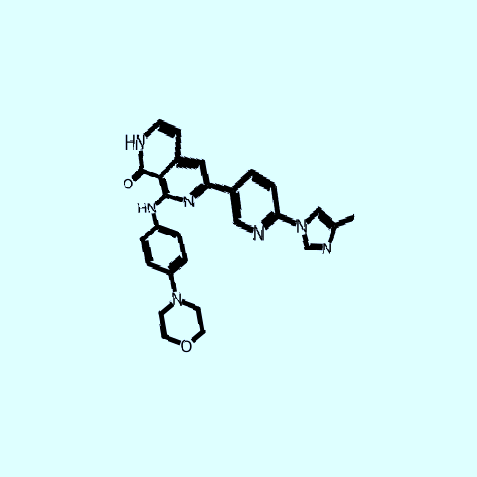 Cc1cn(-c2ccc(-c3cc4cc[nH]c(=O)c4c(Nc4ccc(N5CCOCC5)cc4)n3)cn2)cn1